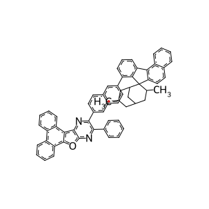 CC1CC2CC(C)C3(c4ccc5ccccc5c4-c4cccc(-c5ccc6cc(-c7nc8c(nc7-c7ccccc7)oc7c9ccccc9c9ccccc9c87)ccc6c5)c43)C(C1)C2